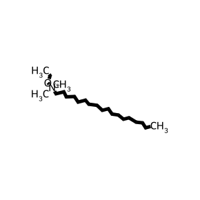 CCCCCCCCCCCCCCCCCC[N+](C)(C)OCC